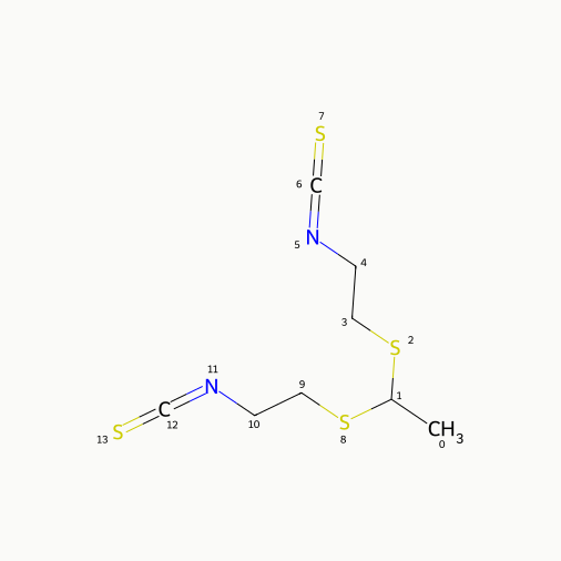 CC(SCCN=C=S)SCCN=C=S